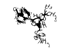 CC1(C)O[C@@H]2[C@H](O1)[C@@H](COS(N)(=O)=O)O[C@H]2n1cnc2c(Cl)ncnc21